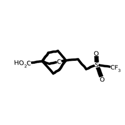 O=C(O)C12CCC(CCS(=O)(=O)C(F)(F)F)(CC1)CC2